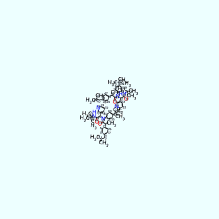 CC(C)Cc1ccc(C(C)C(=O)N(c2ccc(C(C)(C)Cc3ccc(C(C(=O)NC(C)(C)C)N(C(=O)C(C)c4ccc(CC(C)C)cc4)c4ccc(C(C)(C)C)cc4)cn3)cc2)C(C(=O)NC(C)(C)C)c2cccnc2)cc1